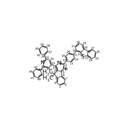 CC1(C)c2ccccc2-c2nc(-c3ccc(-c4cccc5c4sc4ccccc45)cc3)nc(-c3cc(-c4ccccc4)nc(-c4ccccc4)c3)c21